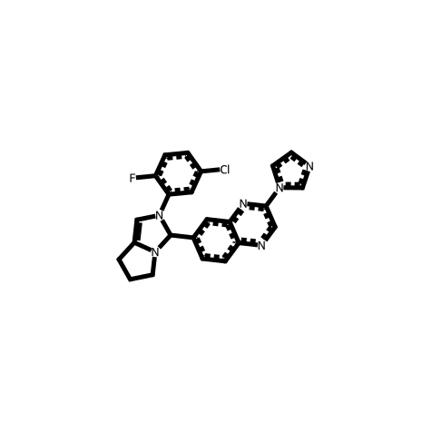 Fc1ccc(Cl)cc1N1C=C2CCCN2C1c1ccc2ncc(-n3ccnc3)nc2c1